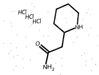 Cl.Cl.Cl.NC(=O)CC1CCCCN1